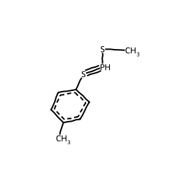 CS[PH]#Sc1ccc(C)cc1